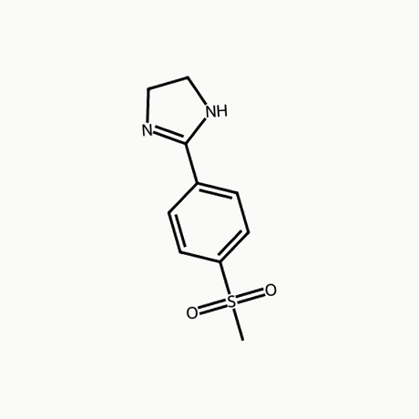 CS(=O)(=O)c1ccc(C2=NCCN2)cc1